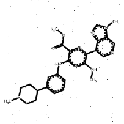 CNc1nc(Nc2cccc(C3CCN(C)CC3)c2)c(C(=O)OC)nc1-c1cncc2c1ncn2C